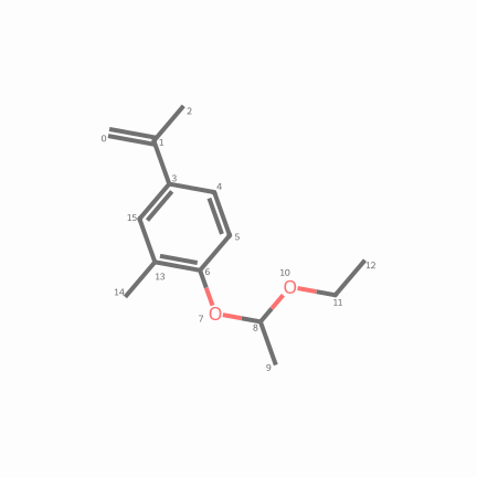 C=C(C)c1ccc(OC(C)OCC)c(C)c1